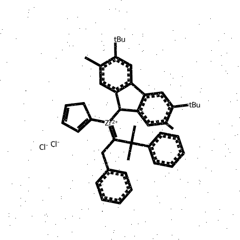 Cc1cc2c(cc1C(C)(C)C)-c1cc(C(C)(C)C)c(C)cc1[CH]2/[Zr+2]([C]1=CC=CC1)=[C](/Cc1ccccc1)C(C)(C)c1ccccc1.[Cl-].[Cl-]